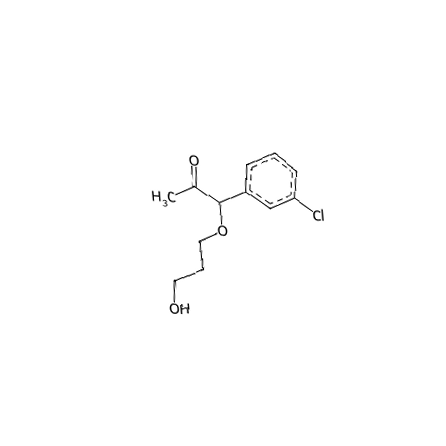 CC(=O)C(OCCCO)c1cccc(Cl)c1